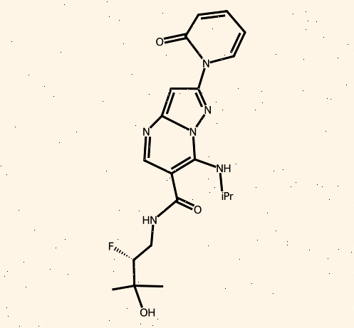 CC(C)Nc1c(C(=O)NC[C@@H](F)C(C)(C)O)cnc2cc(-n3ccccc3=O)nn12